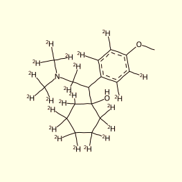 [2H]c1c([2H])c(C(C([2H])([2H])N(C([2H])([2H])[2H])C([2H])([2H])[2H])C2(O)C([2H])([2H])C([2H])([2H])C([2H])([2H])C([2H])([2H])C2([2H])[2H])c([2H])c([2H])c1OC